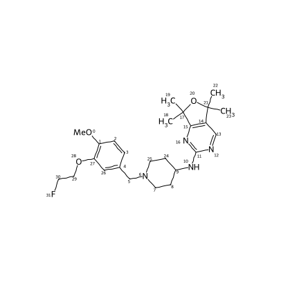 COc1ccc(CN2CCC(Nc3ncc4c(n3)C(C)(C)OC4(C)C)CC2)cc1OCCF